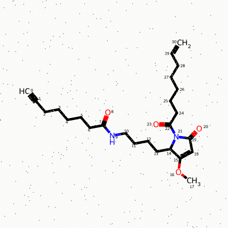 C#CCCCCCC(=O)NCCCCC1C(OC)=CC(=O)N1C(=O)CCCCCC=C